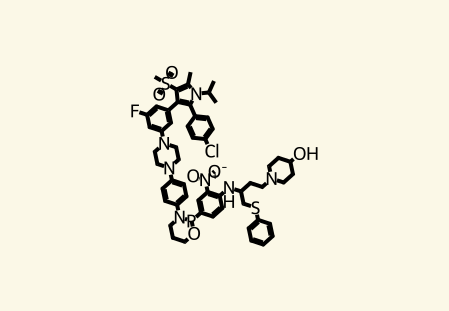 Cc1c(S(C)(=O)=O)c(-c2cc(F)cc(N3CCN(c4ccc(N5CCCOP5c5ccc(NC(CCN6CCC(O)CC6)CSc6ccccc6)c([N+](=O)[O-])c5)cc4)CC3)c2)c(-c2ccc(Cl)cc2)n1C(C)C